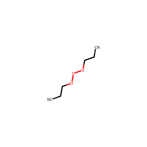 N#CCCOOOCCC#N